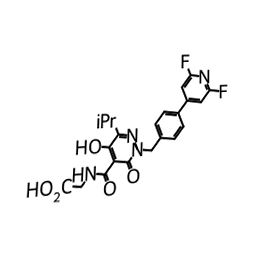 CC(C)c1nn(Cc2ccc(-c3cc(F)nc(F)c3)cc2)c(=O)c(C(=O)NCC(=O)O)c1O